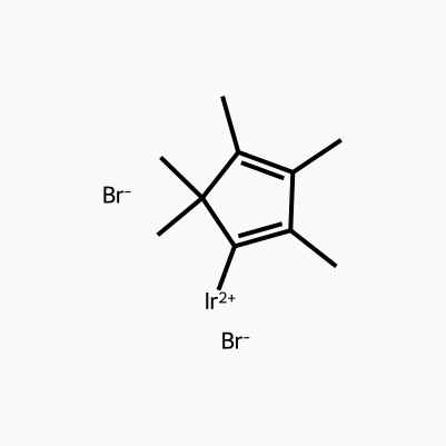 CC1=C(C)C(C)(C)[C]([Ir+2])=C1C.[Br-].[Br-]